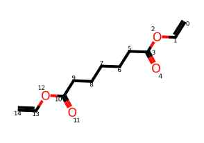 C=COC(=O)CCCCCC(=O)OC=C